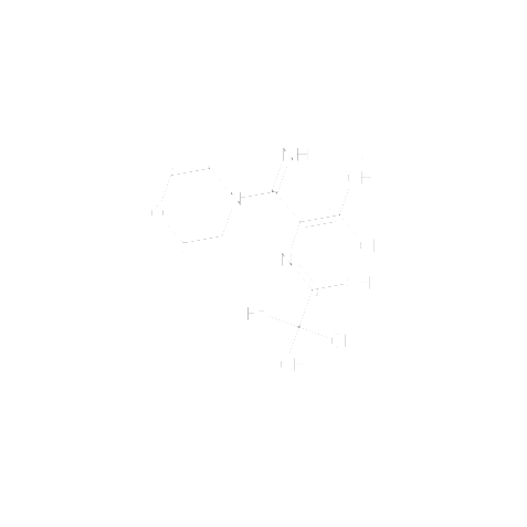 CCC(C)(C)/C(C)=N/C(C(=N)N1CCOCC1)=C(C)C